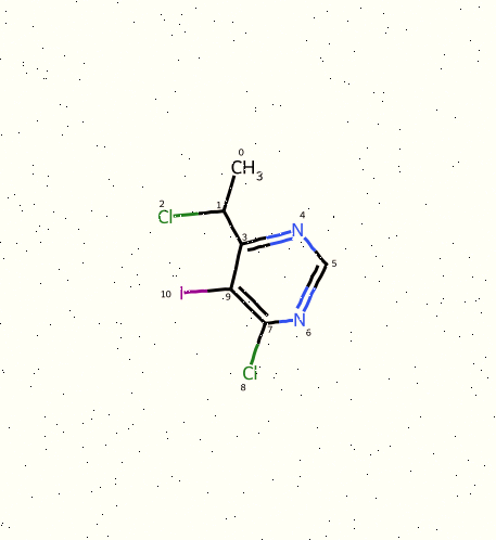 CC(Cl)c1ncnc(Cl)c1I